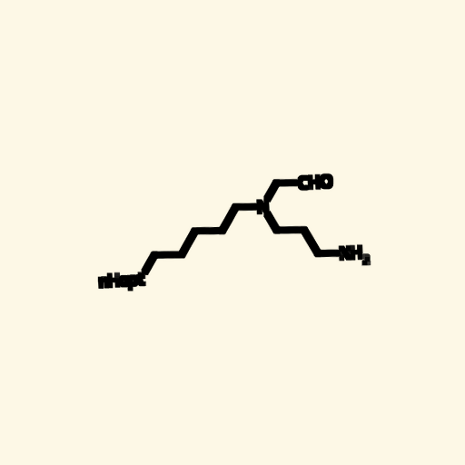 CCCCCCCCCCCCN(CC=O)CCCN